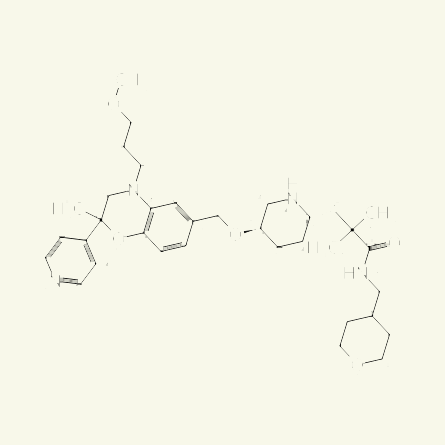 COCCCN1CC(C)(c2ccncc2)Oc2ccc(CO[C@@H]3CC[C@@H](CC(C)(C)C(=O)NCC4CCOCC4)NC3)cc21